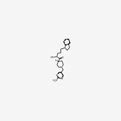 CCCN(CCCN1CCc2ccccc21)C(=O)C1(F)CCN(Cc2cnc(N)nc2)CC1